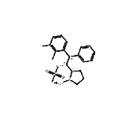 CS(=O)(=O)O[C@H]([C@H](c1ccccc1)c1cccc(F)c1F)[C@H]1CCCN1C(=O)O